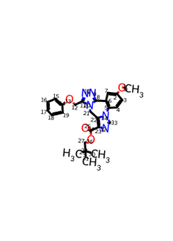 COc1ccc2c(c1)-c1nnc(COc3ccccc3)n1Cc1c(C(=O)OCC(C)(C)C)ncn1-2